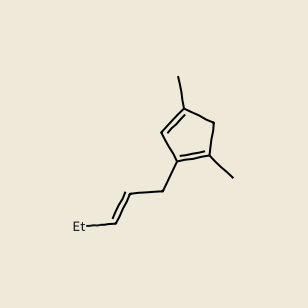 CCC=CCC1=C(C)CC(C)=C1